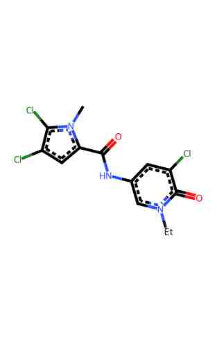 CCn1cc(NC(=O)c2cc(Cl)c(Cl)n2C)cc(Cl)c1=O